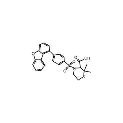 CC1(C)SCCN(S(=O)(=O)c2ccc(-c3cccc4oc5ccccc5c34)cc2)C1C(=O)O